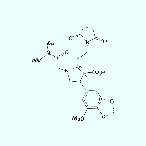 CCCCN(CCCC)C(=O)CN1CC(c2cc(OC)c3c(c2)OCO3)[C@H](C(=O)O)[C@H]1CCN1C(=O)CCC1=O